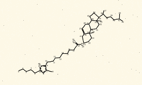 CCCCCc1cc(C)c(CCCCCCCCC(=O)OC2CCC3(C)C(=CCC4C3CCC3(C)C(C(C)CCCC(C)C)CCC43)C2)o1